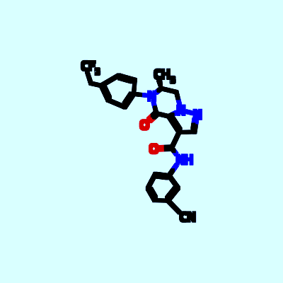 C[C@H]1Cn2ncc(C(=O)Nc3cccc(C#N)c3)c2C(=O)N1c1ccc(CC(F)(F)F)cc1